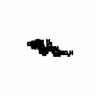 Cc1cc(NC(=O)CCCN(C(=O)O)C(C)(C)C)ccc1NC(=O)c1cc(NC(=O)C2C(c3ccc(Cl)c(Cl)c3)C2(Cl)Cl)ccc1Cl